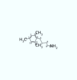 Cc1cc(C)c(CCC[CH]N)c(C)c1